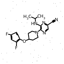 CC(C)Nc1nc(C#N)cnc1N1CCC(Oc2ccc(F)cc2F)CC1